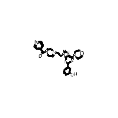 O=C(c1ccncc1)N1CCN(CCn2nnc3c(N4CCOCC4)nc(-c4cccc(O)c4)nc32)CC1